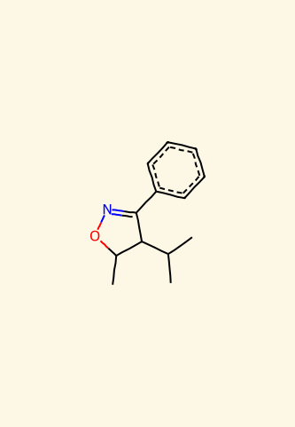 CC(C)C1C(c2ccccc2)=NOC1C